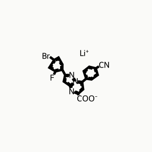 N#Cc1ccc(-c2cc(C(=O)[O-])nc3cc(-c4ccc(Br)cc4F)nn23)cc1.[Li+]